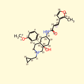 COc1cccc([C@@]23CCN(CC4CC4)C[C@@]2(O)CC[C@H](NC(=O)/C=C/c2ccoc2C)C3)c1